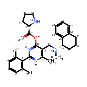 CCc1cccc(CC)c1-c1nc(C)c(CN(C)[C@H]2CCCc3ccccc32)c(OC(=O)[C@H]2CCCN2)n1